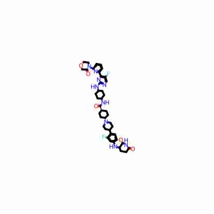 O=C1CCC(Nc2ccc(C3CCN([C@H]4CC[C@H](C(=O)NC5CCC(Nc6ncc(F)c(-c7cccc(N8CCOCC8=O)n7)n6)CC5)CC4)CC3)c(F)c2)C(=O)N1